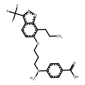 CCCc1c(OCCCN(C)c2ccc(C(=O)O)cc2)ccc2c(C(F)(F)F)noc12